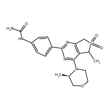 CC1c2c(nc(-c3ccc(NC(N)=O)cc3)nc2N2CCOC[C@H]2C)CS1(=O)=O